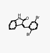 O=C1Nc2ccccc2/C1=C/c1cc(Br)ccc1Br